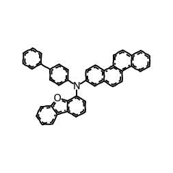 c1ccc(-c2ccc(N(c3ccc4c(ccc5c6ccccc6ccc45)c3)c3cccc4c3oc3ccccc34)cc2)cc1